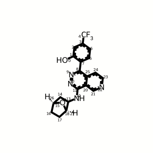 Oc1cc(C(F)(F)F)ccc1-c1nnc(NC2C[C@@H]3CC[C@H]2O3)c2cnccc12